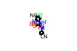 Cc1c(NC(c2nnc(-c3ccc(C#N)cc3)o2)C(C)OS(N)(=O)=O)ccc(C#N)c1Cl